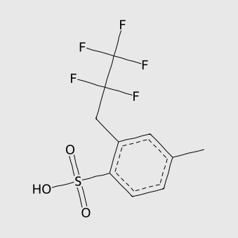 Cc1ccc(S(=O)(=O)O)c(CC(F)(F)C(F)(F)F)c1